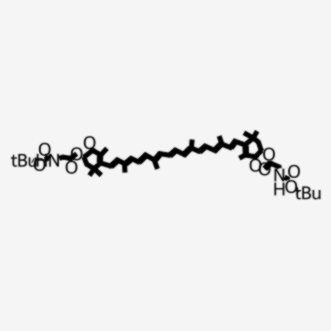 CC1=C(/C=C/C(C)=C/C=C/C(C)=C/C=C/C=C(C)/C=C/C=C(C)/C=C/C2=C(C)C(=O)C(OC(=O)CNC(=O)OC(C)(C)C)CC2(C)C)C(C)(C)CC(OC(=O)CNC(=O)OC(C)(C)C)C1=O